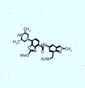 COc1nc2c(C(=O)Nc3cc(CNC(C)=O)c4nn(C)cc4c3)ccc(N3C[C@H](C)N[C@@H](C)C3)c2s1